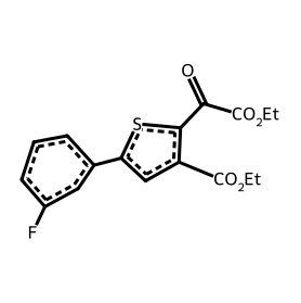 CCOC(=O)C(=O)c1sc(-c2cccc(F)c2)cc1C(=O)OCC